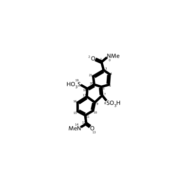 CNC(=O)c1ccc2c(S(=O)(=O)O)c3cc(C(=O)NC)ccc3c(S(=O)(=O)O)c2c1